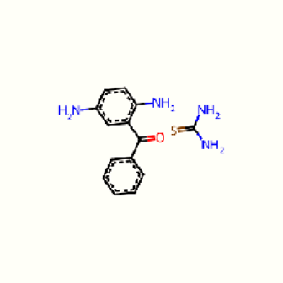 NC(N)=S.Nc1ccc(N)c(C(=O)c2ccccc2)c1